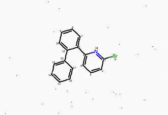 Brc1cccc(-c2ccccc2-c2ccccc2)n1